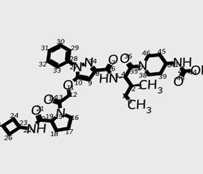 CC[C@H](C)[C@H](NC(=O)c1cc(OCC(=O)N2CCCC2C(=O)NC2CCC2)n(-c2ccccc2)n1)C(=O)N1CCC(NC(=O)O)CC1